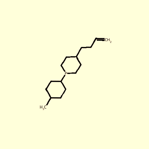 C=CCCC1CCP(C2CCC(C)CC2)CC1